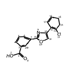 O=C(O)c1cccc(-c2nc(C3=C(Cl)CCC=C3)co2)c1